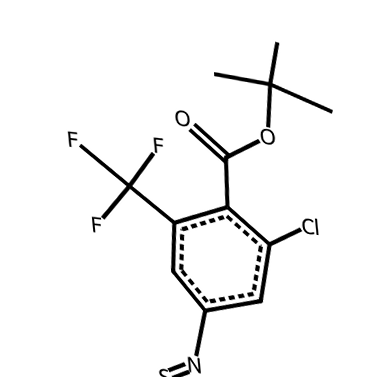 CC(C)(C)OC(=O)c1c(Cl)cc(N=S)cc1C(F)(F)F